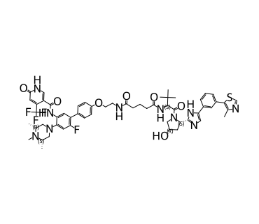 Cc1ncsc1-c1cccc(-c2cnc([C@@H]3C[C@@H](O)CN3C(=O)[C@@H](NC(=O)CCCC(=O)NCCOc3ccc(-c4cc(NC(=O)c5c[nH]c(=O)cc5C(F)(F)F)c(N5C[C@@H](C)N(C)[C@@H](C)C5)cc4F)cc3)C(C)(C)C)[nH]2)c1